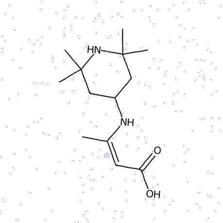 C/C(=C/C(=O)O)NC1CC(C)(C)NC(C)(C)C1